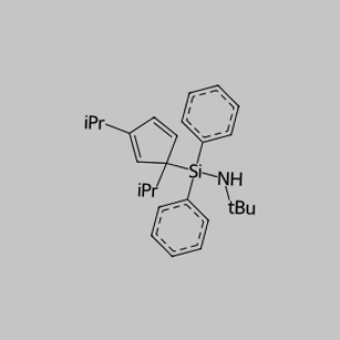 CC(C)C1=CC(C(C)C)([Si](NC(C)(C)C)(c2ccccc2)c2ccccc2)C=C1